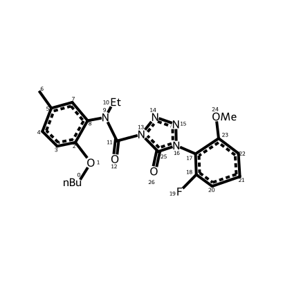 CCCCOc1ccc(C)cc1N(CC)C(=O)n1nnn(-c2c(F)cccc2OC)c1=O